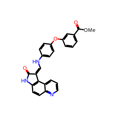 COC(=O)c1cccc(Oc2ccc(NC=C3C(=O)Nc4ccc5ncccc5c43)cc2)c1